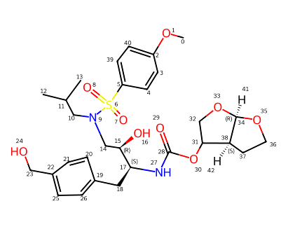 COc1ccc(S(=O)(=O)N(CC(C)C)C[C@@H](O)[C@H](Cc2ccc(CO)cc2)NC(=O)OC2CO[C@H]3OCC[C@@H]23)cc1